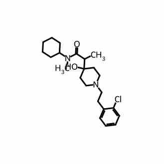 CC(C(=O)N(C)C1CCCCC1)C1(O)CCN(CCc2ccccc2Cl)CC1